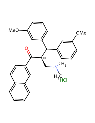 COc1cccc(C(c2cccc(OC)c2)[C@@H](CN(C)C)C(=O)c2ccc3ccccc3c2)c1.Cl